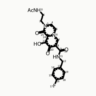 CC(=O)NCCn1ccn2cc(C(=O)NCc3ccc(F)cc3)c(=O)c(O)c2c1=O